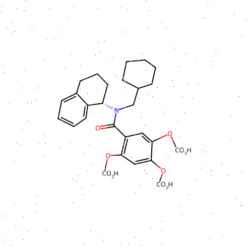 O=C(O)Oc1cc(OC(=O)O)c(C(=O)N(CC2CCCCC2)[C@H]2CCCc3ccccc32)cc1OC(=O)O